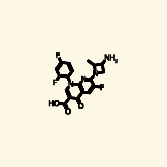 CC1C(N)CN1c1nc2c(cc1F)c(=O)c(C(=O)O)cn2-c1ccc(F)cc1F